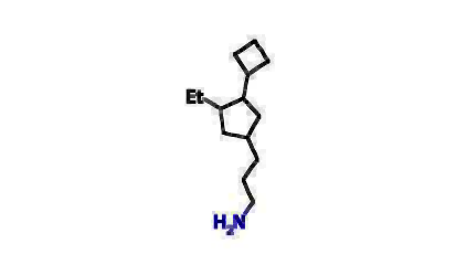 CCC1CC(CCCN)CC1C1CCC1